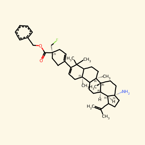 C=C(C)C1CC[C@]2(N)CC[C@]3(C)[C@H](CCC4[C@@]5(C)CC=C(C6=CC[C@](CF)(C(=O)OCc7ccccc7)CC6)C(C)(C)C5CC[C@]43C)[C@H]12